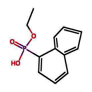 CCOP(=O)(O)c1cccc2ccccc12